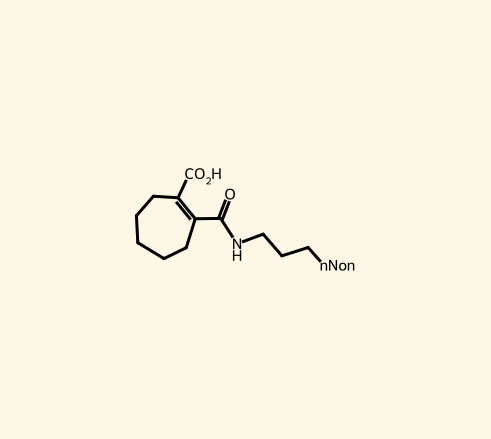 CCCCCCCCCCCCNC(=O)C1=C(C(=O)O)CCCCC1